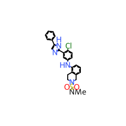 CNS(=O)(=O)N1CCc2c(cccc2Nc2ccc(Cl)c(-c3ncc(-c4ccccc4)[nH]3)c2)C1